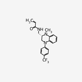 C=CC(=O)NC[C@H]1CN(c2ccc(C(F)(F)F)cc2)c2ccccc2N1C